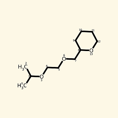 CC(C)OCCOCC1CCCCO1